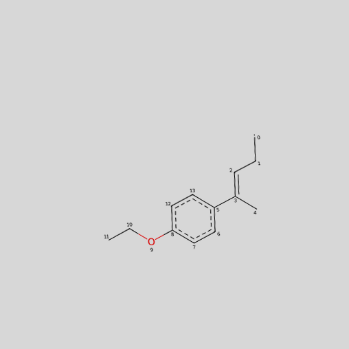 [CH2]CC=C(C)c1ccc(OCC)cc1